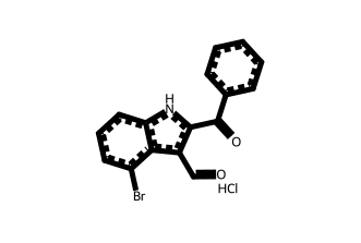 Cl.O=Cc1c(C(=O)c2ccccc2)[nH]c2cccc(Br)c12